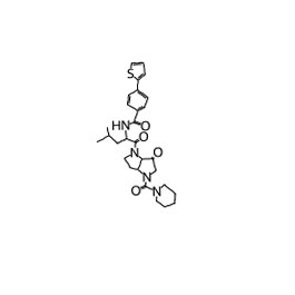 CC(C)CC(NC(=O)c1ccc(-c2cccs2)cc1)C(=O)N1CCC2C1C(=O)CN2C(=O)N1CCCCC1